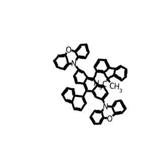 CC1(C)c2ccccc2-c2cccc(-c3c4cc(N5c6ccccc6Oc6ccccc65)ccc4c(-c4cccc5ccccc45)c4cc(N5c6ccccc6Oc6ccccc65)ccc34)c21